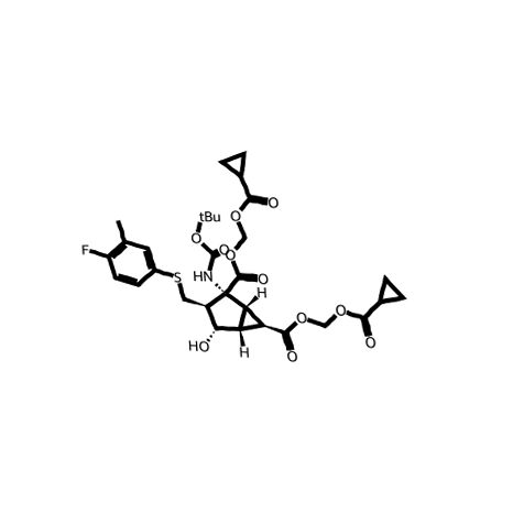 Cc1cc(SC[C@@H]2[C@@H](O)[C@H]3[C@H](C(=O)OCOC(=O)C4CC4)[C@H]3[C@]2(NC(=O)OC(C)(C)C)C(=O)OCOC(=O)C2CC2)ccc1F